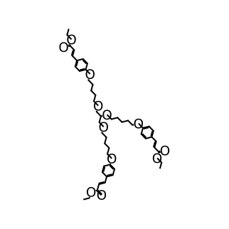 CCOC(=O)C=Cc1ccc(OCCCCCOCC(COCCCCCOc2ccc(C=CC(=O)OCC)cc2)OCCCCCOc2ccc(C=CC(=O)OCC)cc2)cc1